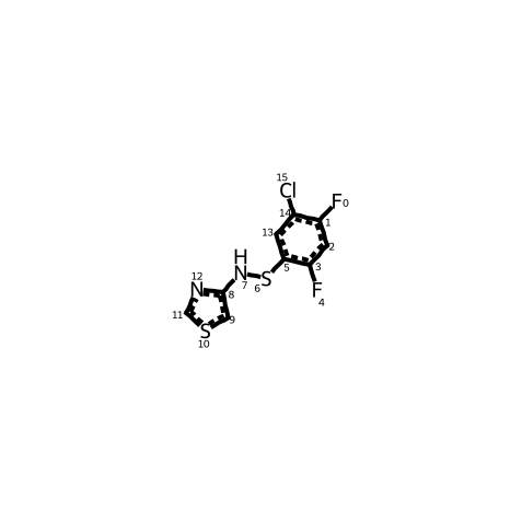 Fc1cc(F)c(SNc2cscn2)cc1Cl